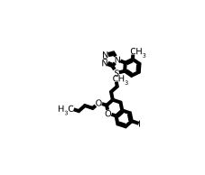 CCCCOC1Oc2ccc(I)cc2CC1CCC.Cc1cccc2sc3nncn3c12